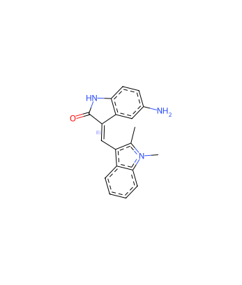 Cc1c(/C=C2/C(=O)Nc3ccc(N)cc32)c2ccccc2n1C